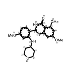 COc1ccc(-c2nc3cc(OC)cc(OC)c3c(=O)[nH]2)c(NC2CCOCC2)c1